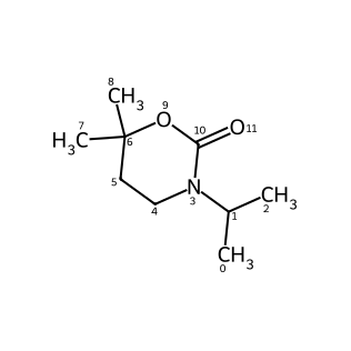 CC(C)N1CCC(C)(C)OC1=O